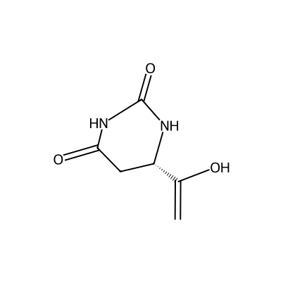 C=C(O)[C@@H]1CC(=O)NC(=O)N1